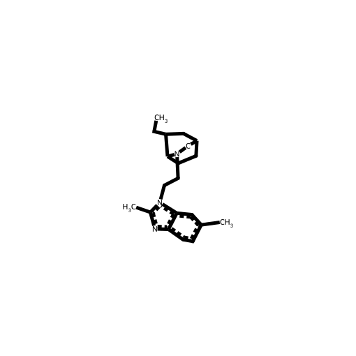 CCC1CC2CCC1N(CCn1c(C)nc3ccc(C)cc31)C2